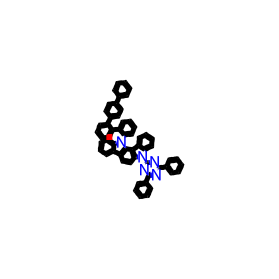 c1ccc(-c2ccc(-c3ccccc3-c3ccccc3-n3c4ccccc4c4ccc5c(c6ccccc6n5-c5nc(-c6ccccc6)nc(-c6ccccc6)n5)c43)cc2)cc1